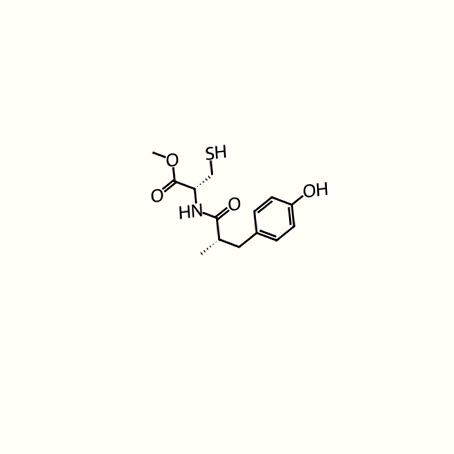 COC(=O)[C@H](CS)NC(=O)[C@@H](C)Cc1ccc(O)cc1